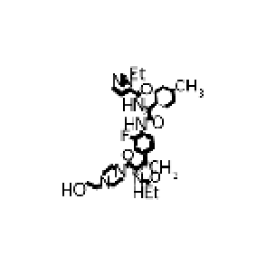 CCC(=O)N[C@@H](C(=O)N1CCN(CCO)CC1)[C@@H](C)c1ccc(NC(=O)[C@@H](NC(=O)c2ccnn2CC)[C@H]2CC[C@H](C)CC2)c(F)c1